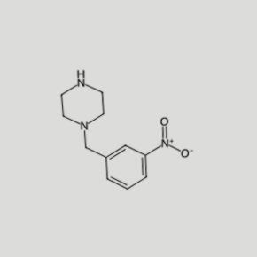 O=[N+]([O-])c1cccc(CN2CCNCC2)c1